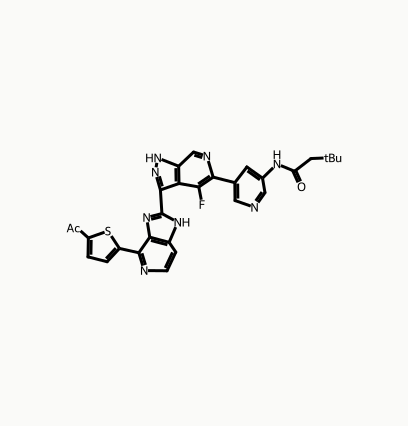 CC(=O)c1ccc(-c2nccc3[nH]c(-c4n[nH]c5cnc(-c6cncc(NC(=O)CC(C)(C)C)c6)c(F)c45)nc23)s1